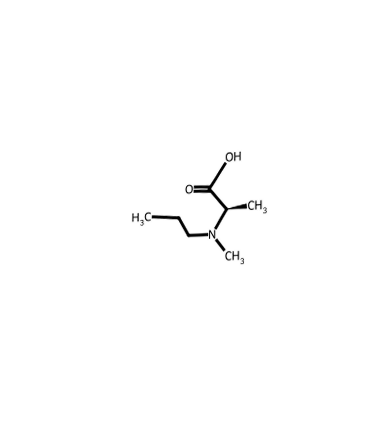 CCCN(C)[C@H](C)C(=O)O